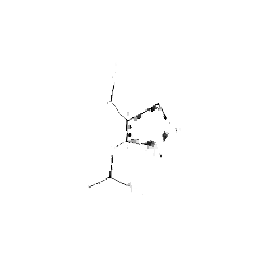 FC(F)Oc1[nH]n[c]c1CCl